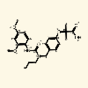 CCCN(Cc1ccc(OC(C)(C)C(=O)O)cc1)C(=O)Nc1ccc(OC)cc1OC